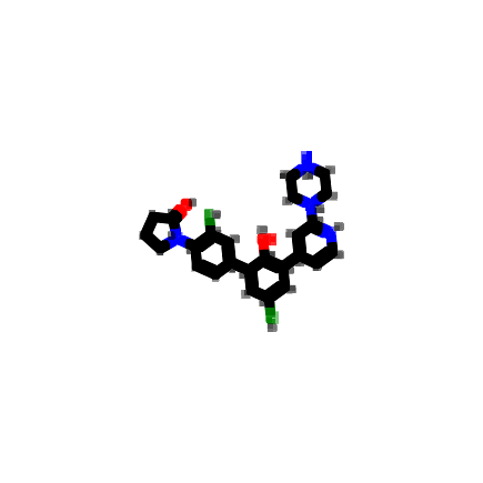 O=C1CCCN1c1ccc(-c2cc(Cl)cc(-c3ccnc(N4CCNCC4)c3)c2O)cc1F